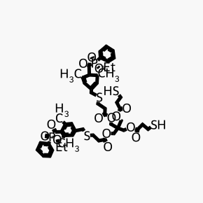 CCOP(=O)(C(=O)c1c(C)cc(CSCCC(=O)OCC(COC(=O)CCS)(COC(=O)CCS)COC(=O)CCSCC2=CC(C)C(C(=O)P(=O)(OCC)c3ccccc3)C(C)=C2)cc1C)c1ccccc1